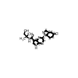 CC(C)(CO)NC(=O)c1c[nH]c2ncc(-n3ncc4cc(Cl)ccc43)nc12